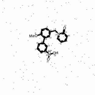 COc1ccc(Cn2ccccc2=O)cc1-c1cccc([NH+]([O-])O)c1